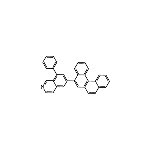 c1ccc(-c2cc(-c3cc4ccc5ccccc5c4c4ccccc34)cc3ccncc23)cc1